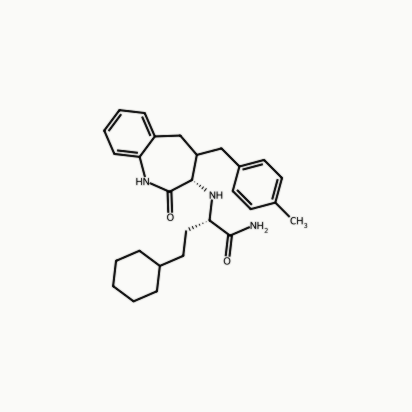 Cc1ccc(CC2Cc3ccccc3NC(=O)[C@H]2N[C@@H](CCC2CCCCC2)C(N)=O)cc1